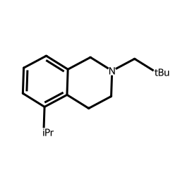 CC(C)c1cccc2c1CCN(CC(C)(C)C)C2